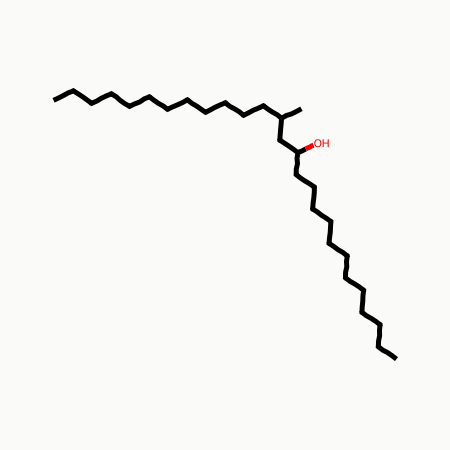 CCCCCCCCCCCCC(C)CC(O)CCCCCCCCCCCC